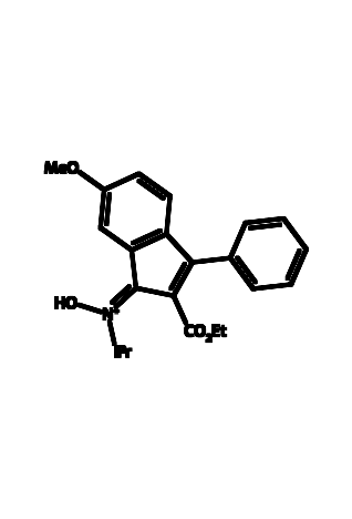 CCOC(=O)C1=C(c2ccccc2)c2ccc(OC)cc2/C1=[N+](\O)C(C)C